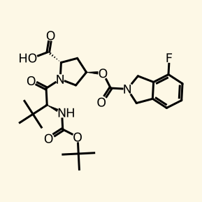 CC(C)(C)OC(=O)N[C@H](C(=O)N1C[C@H](OC(=O)N2Cc3cccc(F)c3C2)C[C@H]1C(=O)O)C(C)(C)C